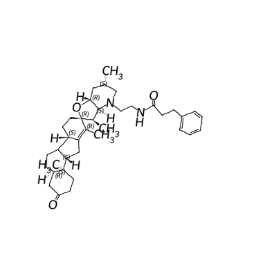 CC1=C2C[C@H]3C(CC[C@@H]4CC(=O)CC[C@@]43C)[C@@H]2CC[C@]12O[C@@H]1C[C@H](C)CN(CCNC(=O)CCc3ccccc3)[C@H]1[C@H]2C